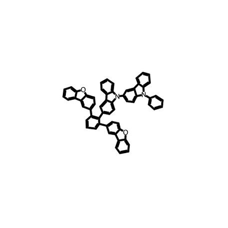 c1ccc(-n2c3ccccc3c3cc(-n4c5ccccc5c5cc(-c6c(-c7ccc8oc9ccccc9c8c7)cccc6-c6ccc7oc8ccccc8c7c6)ccc54)ccc32)cc1